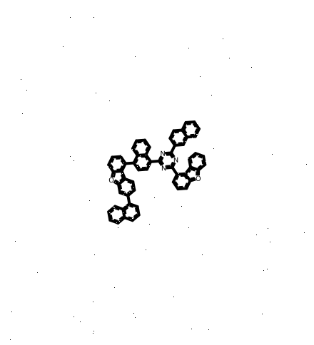 c1ccc2cc(-c3nc(-c4ccc(-c5cccc6oc7cc(-c8cccc9ccccc89)ccc7c56)c5ccccc45)nc(-c4cccc5oc6ccccc6c45)n3)ccc2c1